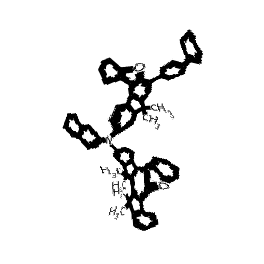 CC1(C)c2cc(N(c3ccc4c(c3)C(C)(C)c3c5c(c6oc7ccccc7c6c3-4)-c3ccccc3C5(C)C)c3ccc4ccccc4c3)ccc2-c2c1cc(-c1ccc(-c3ccccc3)cc1)c1oc3ccccc3c21